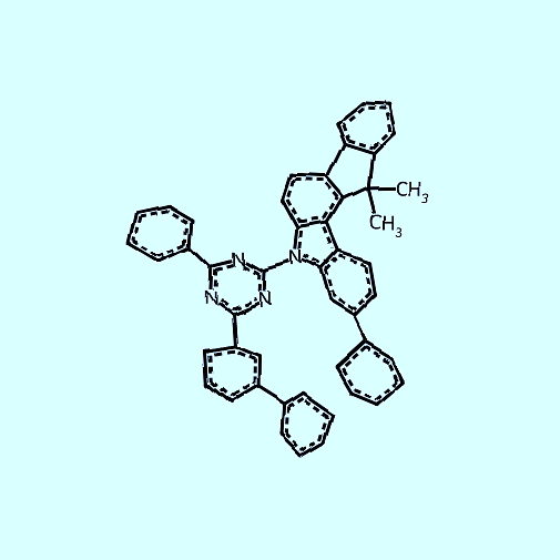 CC1(C)c2ccccc2-c2ccc3c(c21)c1ccc(-c2ccccc2)cc1n3-c1nc(-c2ccccc2)nc(-c2cccc(-c3ccccc3)c2)n1